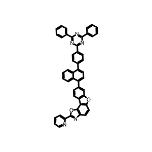 c1ccc(-c2nc(-c3ccccc3)nc(-c3ccc(-c4ccc(-c5ccc6c(c5)oc5ccc7nc(-c8ccccn8)oc7c56)c5ccccc45)cc3)n2)cc1